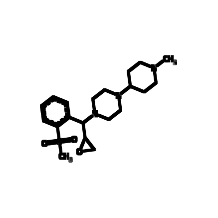 CN1CCC(N2CCN(C(c3ccccc3S(C)(=O)=O)C3CO3)CC2)CC1